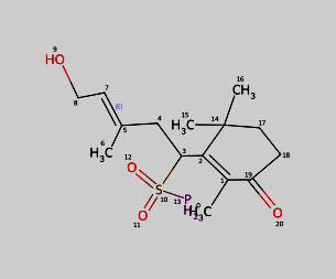 CC1=C(C(C/C(C)=C/CO)S(=O)(=O)P)C(C)(C)CCC1=O